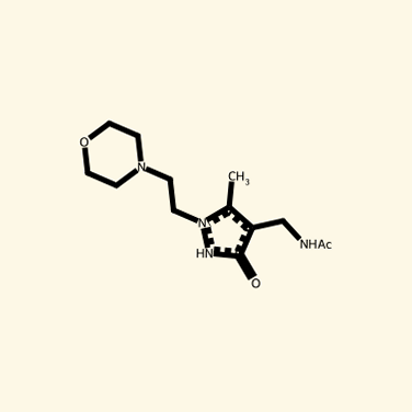 CC(=O)NCc1c(C)n(CCN2CCOCC2)[nH]c1=O